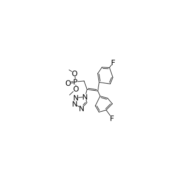 COP(=O)(CC(=C(c1ccc(F)cc1)c1ccc(F)cc1)n1cnnn1)OC